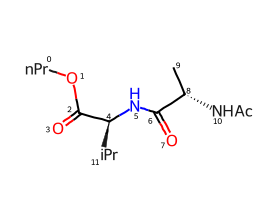 CCCOC(=O)[C@@H](NC(=O)[C@H](C)NC(C)=O)C(C)C